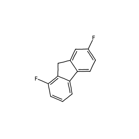 Fc1ccc2c(c1)Cc1c(F)cccc1-2